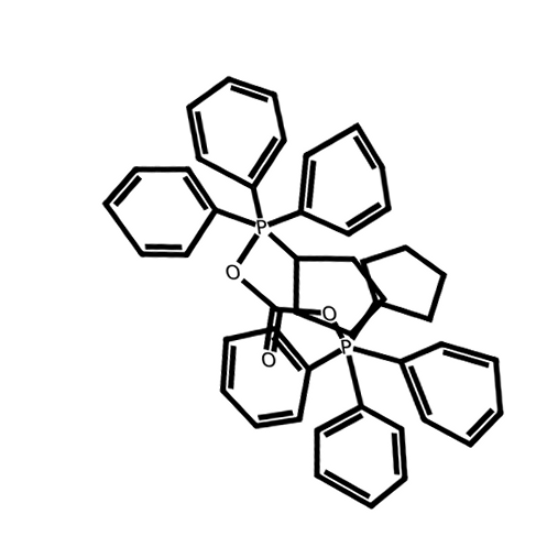 O=C(OP(c1ccccc1)(c1ccccc1)(c1ccccc1)C1CCCC1)OP(c1ccccc1)(c1ccccc1)(c1ccccc1)C1CCCC1